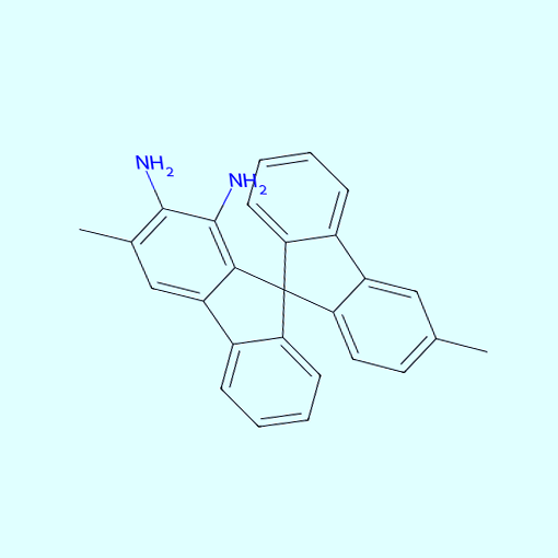 Cc1ccc2c(c1)-c1ccccc1C21c2ccccc2-c2cc(C)c(N)c(N)c21